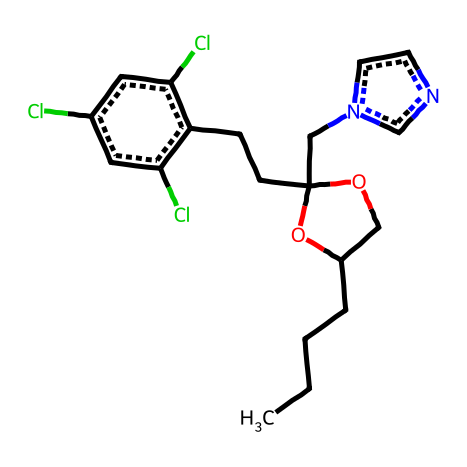 CCCCC1COC(CCc2c(Cl)cc(Cl)cc2Cl)(Cn2ccnc2)O1